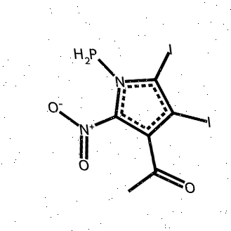 CC(=O)c1c(I)c(I)n(P)c1[N+](=O)[O-]